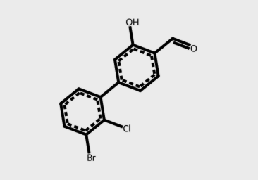 O=Cc1ccc(-c2cccc(Br)c2Cl)cc1O